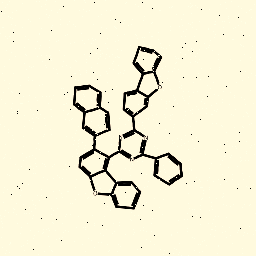 c1ccc(-c2nc(-c3ccc4c(c3)oc3ccccc34)nc(-c3c(-c4ccc5ccccc5c4)ccc4oc5ccccc5c34)n2)cc1